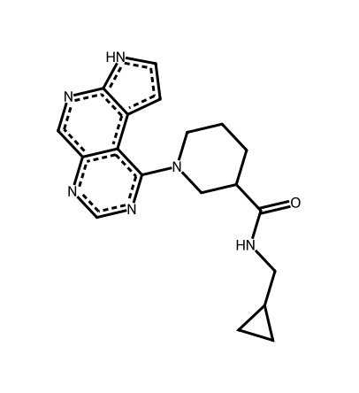 O=C(NCC1CC1)C1CCCN(c2ncnc3cnc4[nH]ccc4c23)C1